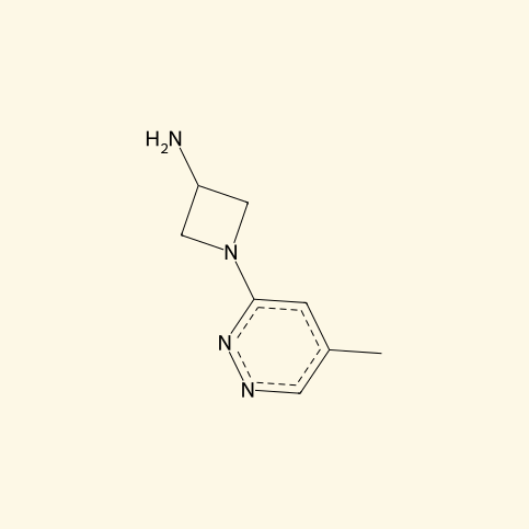 Cc1cnnc(N2CC(N)C2)c1